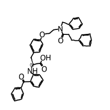 O=C(c1ccccc1)c1ccccc1N[C@@H](Cc1ccc(OCCN(Cc2ccccc2)C(=O)CCc2ccccc2)cc1)C(=O)O